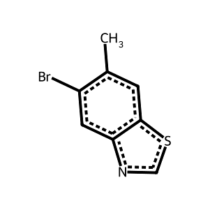 Cc1cc2scnc2cc1Br